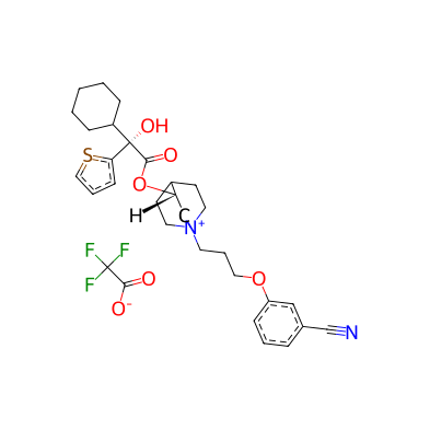 N#Cc1cccc(OCCC[N+]23CCC(CC2)[C@@H](OC(=O)[C@@](O)(c2cccs2)C2CCCCC2)C3)c1.O=C([O-])C(F)(F)F